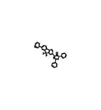 FC1(F)c2cc(C3=NC(c4ccccc4)=CC(c4ccccc4)N3)ccc2-c2ccc(-c3cccnc3)cc21